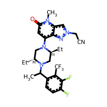 CC[C@H]1CN(C(C)c2ccc(F)c(F)c2C(F)(F)F)[C@H](CC)CN1c1cc(=O)n(C)c2cn(CC#N)nc12